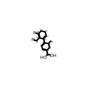 CC1CC(C(O)O)=CC=C1C1=CCCC(F)=C1CF